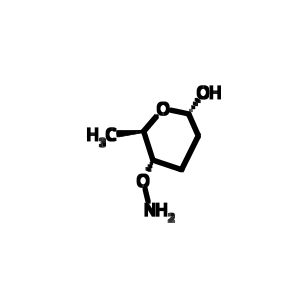 C[C@H]1O[C@H](O)CC[C@@H]1ON